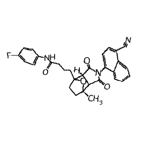 C[C@@]12CCC(CCCC(=O)Nc3ccc(F)cc3)(O1)[C@@H]1C(=O)N(c3ccc(C#N)c4ccccc34)C(=O)C12